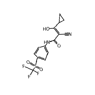 N#CC(C(=O)Nc1ccc(S(=O)(=O)C(F)(F)F)cc1)=C(O)C1CC1